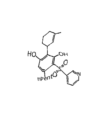 CCCCCc1cc(O)c(C2C=C(C)CCC2)c(O)c1S(=O)(=O)c1cccnc1